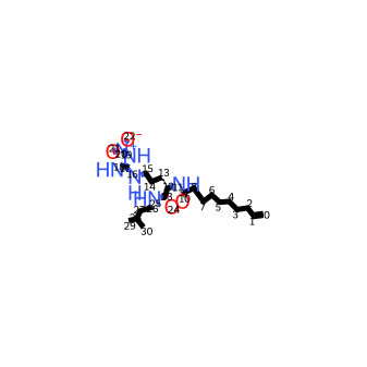 C=CCCCCCCCC(=O)N[C@@H](CCCNC(=N)N[N+](=O)[O-])C(=O)NCCC(C)C